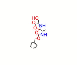 COC(=O)[C@@H](CO)NC(=O)[C@@H](C)NC(=O)OCc1ccccc1